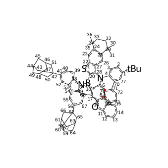 CC(C)(C)c1ccc(N2c3cc4c(oc5ccccc54)c4c3B(c3sc5cc6c(cc5c32)C(C)(C)CCC6(C)C)n2c3ccc(C56CC7CC(CC(C7)C5)C6)cc3c3cc(C56CC7CC(CC(C7)C5)C6)cc-4c32)c(-c2ccccc2)c1